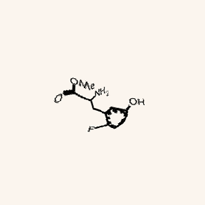 COC(=O)C(N)Cc1cc(O)ccc1F